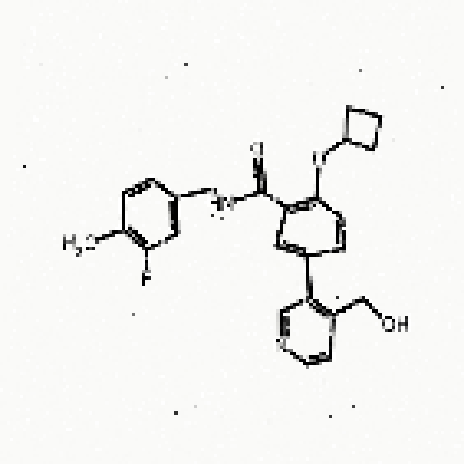 Cc1ccc(CNC(=O)c2cc(-c3cnccc3CO)ccc2OC2CCC2)cc1F